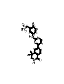 CC1(C)CNC(=O)c2ccc(-c3ccnc(Nc4ccc(F)c(CS(C)(=O)=O)c4)n3)cc21